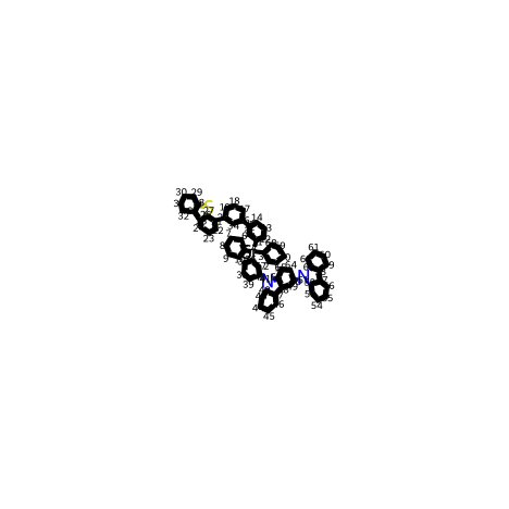 c1ccc([Si](c2ccccc2)(c2cccc(-c3cccc(-c4cccc5c4sc4ccccc45)c3)c2)c2cccc(-n3c4ccccc4c4cc(-n5c6ccccc6c6ccccc65)ccc43)c2)cc1